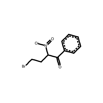 O=C(c1ccccc1)C(CCBr)[N+](=O)[O-]